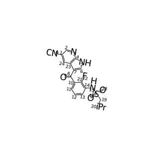 [C-]#[N+]c1cnc2[nH]cc(C(=O)c3cccc(NS(=O)(=O)CC(C)C)c3F)c2c1